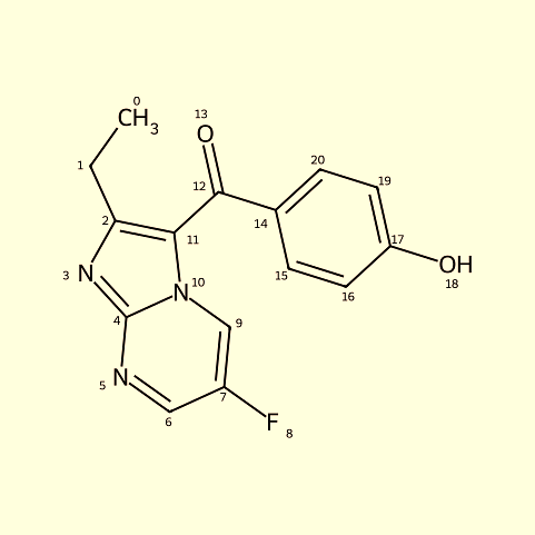 CCc1nc2ncc(F)cn2c1C(=O)c1ccc(O)cc1